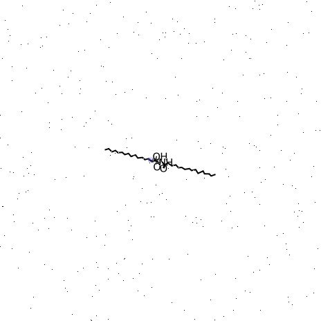 CCCCCCCCCCCCC/C=C/[C@@H](O)[C@@H](NC(=O)CCCCCCCCCCCCCCC)OC